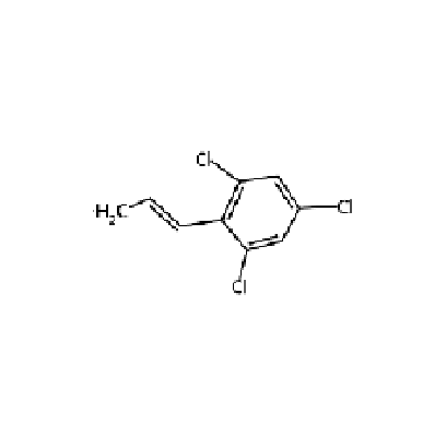 [CH2]C=Cc1c(Cl)cc(Cl)cc1Cl